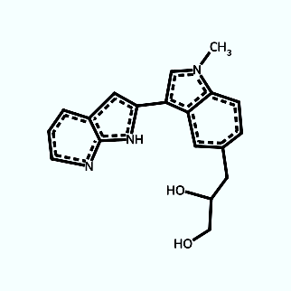 Cn1cc(-c2cc3cccnc3[nH]2)c2cc(CC(O)CO)ccc21